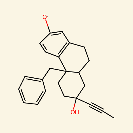 CC#CC1(O)CCC2(Cc3ccccc3)c3ccc([O])cc3CCC2C1